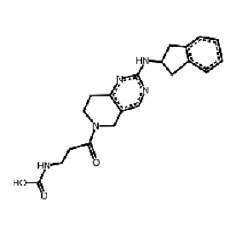 O=C(O)NCCC(=O)N1CCc2nc(NC3Cc4ccccc4C3)ncc2C1